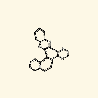 c1ccc2c(c1)ccc1c3nccnc3c3nc4ccccc4nc3c21